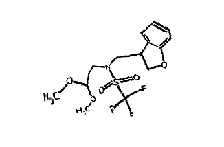 COC(CN(CC1COc2ccccc21)S(=O)(=O)C(F)(F)F)OC